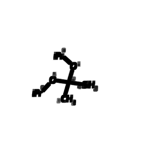 CC(C)OC(C)([SiH3])OC(C)C